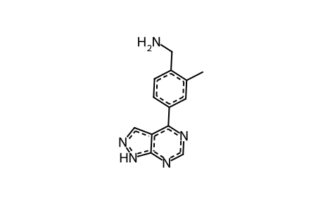 Cc1cc(-c2ncnc3[nH]ncc23)ccc1CN